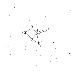 S=[SH]12SSC1S2